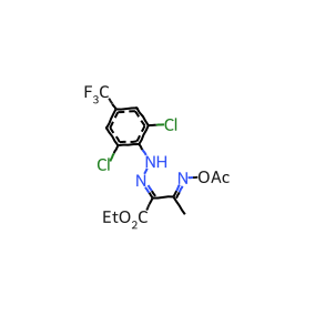 CCOC(=O)C(=NNc1c(Cl)cc(C(F)(F)F)cc1Cl)C(C)=NOC(C)=O